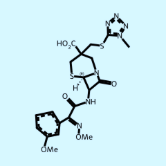 CON=C(C(=O)NC1C(=O)N2CC(CSc3nnnn3C)(C(=O)O)CS[C@H]12)c1cccc(OC)c1